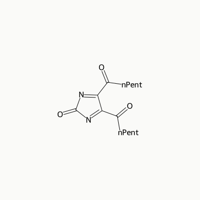 CCCCCC(=O)C1=NC(=O)N=C1C(=O)CCCCC